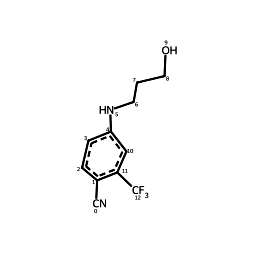 N#Cc1ccc(NCCCO)cc1C(F)(F)F